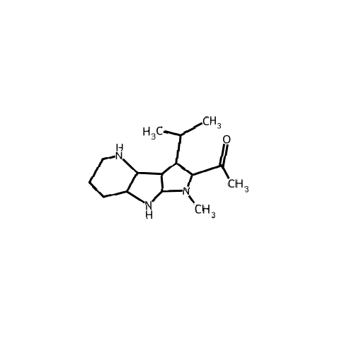 CC(=O)C1C(C(C)C)C2C3NCCCC3NC2N1C